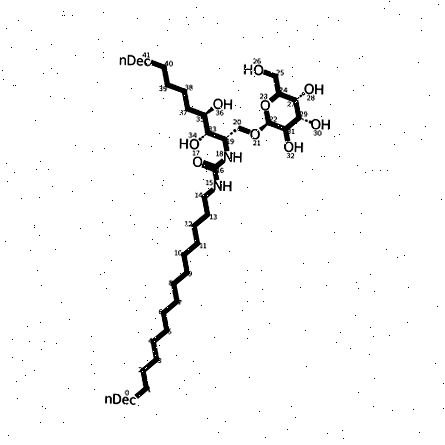 CCCCCCCCCCCCCCCCCCCCCCCCNC(=O)N[C@@H](CO[C@H]1OC(CO)[C@H](O)[C@H](O)C1O)[C@H](O)[C@H](O)CCCCCCCCCCCCCC